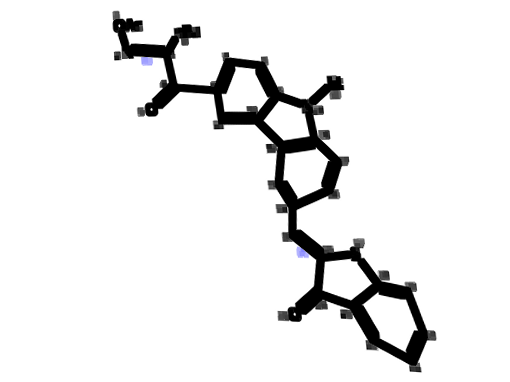 CCCC/C(=N\OC(C)=O)C(=O)c1ccc2c(c1)c1cc(/C=C3\Sc4ccccc4C3=O)ccc1n2CC